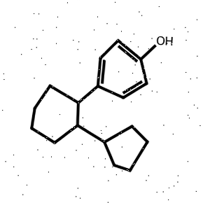 Oc1ccc(C2CCCCC2C2CCCC2)cc1